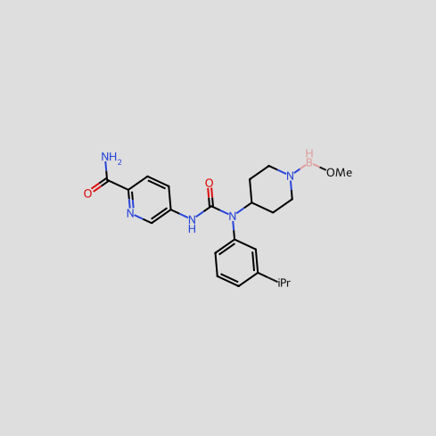 COBN1CCC(N(C(=O)Nc2ccc(C(N)=O)nc2)c2cccc(C(C)C)c2)CC1